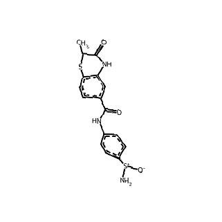 CC1Sc2ccc(C(=O)Nc3ccc([S+](N)[O-])cc3)cc2NC1=O